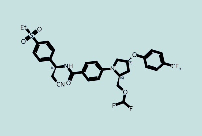 CCS(=O)(=O)c1ccc([C@H](CC#N)NC(=O)c2ccc(N3C[C@H](Oc4ccc(C(F)(F)F)cc4)C[C@H]3COC(F)F)cc2)cc1